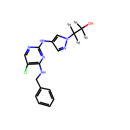 [2H]C([2H])(O)C([2H])([2H])n1cc(Nc2ncc(Cl)c(NCc3ccccc3)n2)cn1